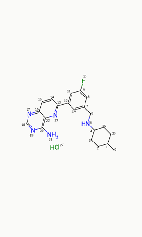 CC1CCC(NCc2cc(F)cc(-c3ccc4ncnc(N)c4n3)c2)CC1.Cl